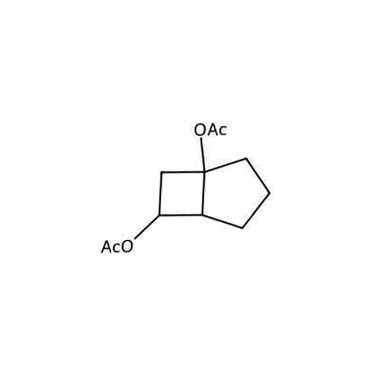 CC(=O)OC1CC2(OC(C)=O)CCCC12